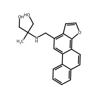 CC(CO)(CO)NCc1cc2c3ccccc3ccc2c2occc12